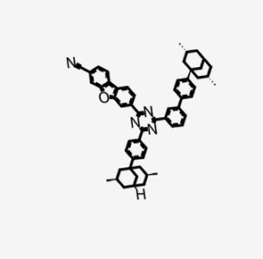 C[C@@H]1C[C@@H]2C[C@H](C)CC(c3ccc(-c4nc(-c5cccc(-c6ccc([C@]78CC(C[C@@H](C)C7)C[C@H](C)C8)cc6)c5)nc(-c5ccc6c(c5)oc5cc(C#N)ccc56)n4)cc3)(C1)C2